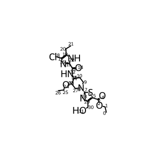 CCOC(=O)c1sc(N2CC[C@@H](NC(=O)c3nc(Cl)c(CC)[nH]3)[C@@H](OCC)C2)nc1CO